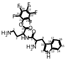 NCCC(NC(=O)C(N)Cc1c[nH]c2ccccc12)C(=O)Oc1c(F)c(F)c(F)c(F)c1F